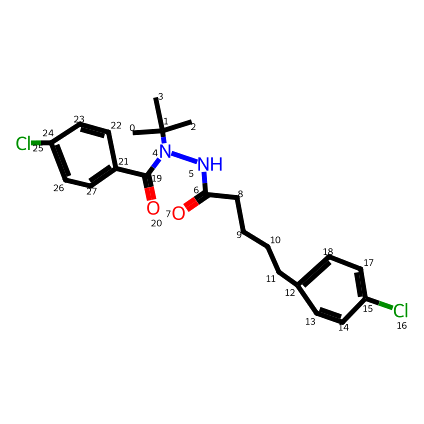 CC(C)(C)N(NC(=O)CCCCc1ccc(Cl)cc1)C(=O)c1ccc(Cl)cc1